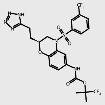 CC(C)(OC(=O)Nc1ccc2c(c1)N(S(=O)(=O)c1cccc(C(F)(F)F)c1)C[C@H](CCc1nnn[nH]1)O2)C(F)(F)F